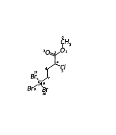 COC(=O)C(Cl)CC[Si](Br)(Br)Br